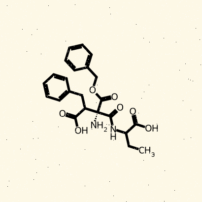 CCC(NC(=O)[C@](N)(C(=O)OCc1ccccc1)C(Cc1ccccc1)C(=O)O)C(=O)O